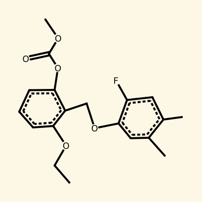 CCOc1cccc(OC(=O)OC)c1COc1cc(C)c(C)cc1F